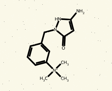 C[N+](C)(C)c1cccc(Cn2[nH]c(N)cc2=O)c1